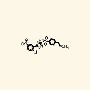 CCCc1ccc(S(=O)(=O)Nc2nnc(-c3cc([N+](=O)[O-])ccc3Cl)s2)cc1